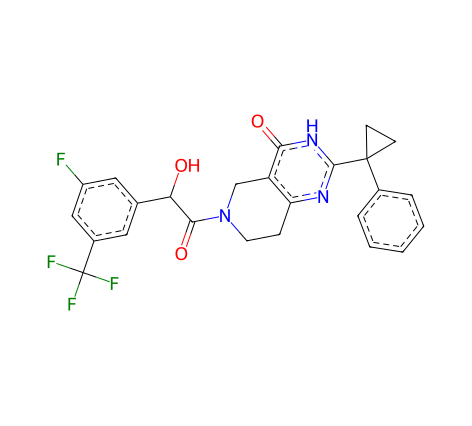 O=C(C(O)c1cc(F)cc(C(F)(F)F)c1)N1CCc2nc(C3(c4ccccc4)CC3)[nH]c(=O)c2C1